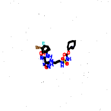 O=C(NS(=O)(=O)NCCNc1nonc1/C(=N/O)Nc1ccc(F)c(Br)c1)OC1/C=C/CCCCC1